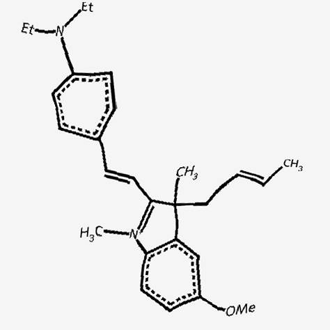 C/C=C/CC1(C)C(/C=C/c2ccc(N(CC)CC)cc2)=[N+](C)c2ccc(OC)cc21